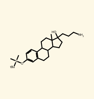 CC12CCC3c4ccc(O[Si](C)(C)C(C)(C)C)cc4CCC3C1CCC2(O)CCCN